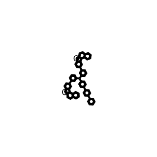 c1ccc(-c2ccc(-c3ccc(C(c4cccc(-c5ccc6oc7ccc8ccccc8c7c6c5)c4)c4cccc(-c5ccc6oc7ccc8ccccc8c7c6c5)c4)cc3)cc2)cc1